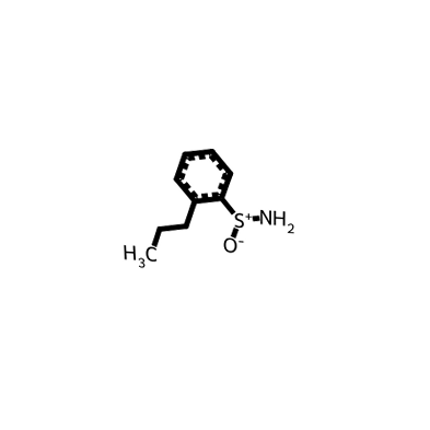 CCCc1ccccc1[S+](N)[O-]